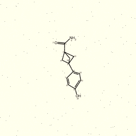 NC(=O)C12CC(c3ccc(O)cc3)(C1)C2